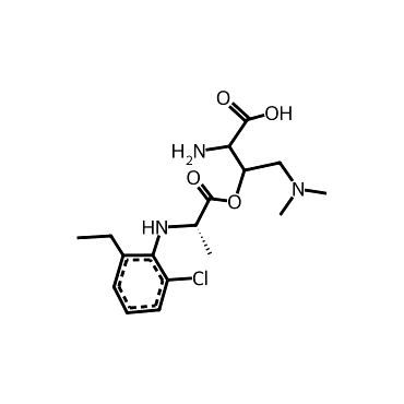 CCc1cccc(Cl)c1N[C@@H](C)C(=O)OC(CN(C)C)C(N)C(=O)O